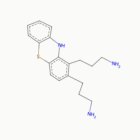 NCCCc1ccc2c(c1CCCN)Nc1ccccc1S2